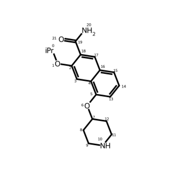 CC(C)Oc1cc2c(OC3CCNCC3)cccc2cc1C(N)=O